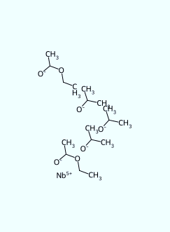 CC(C)[O-].CC(C)[O-].CC(C)[O-].CCOC(C)[O-].CCOC(C)[O-].[Nb+5]